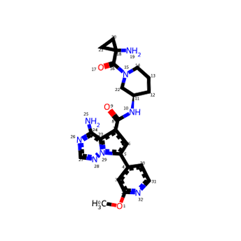 COc1cc(-c2cc(C(=O)N[C@@H]3CCCN(C(=O)C4(N)CC4)C3)c3c(N)ncnn23)ccn1